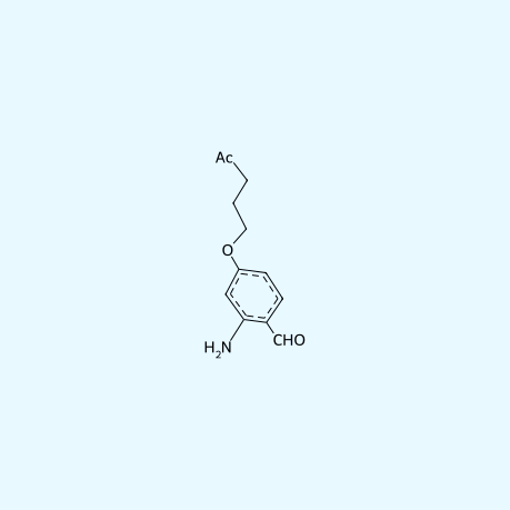 CC(=O)CCCOc1ccc(C=O)c(N)c1